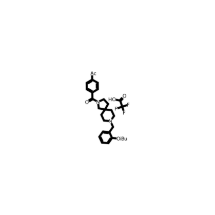 CC(=O)c1ccc(C(=O)N2CCC3(CCN(Cc4ccccc4OCC(C)C)CC3)C2)cc1.O=C(O)C(F)(F)F